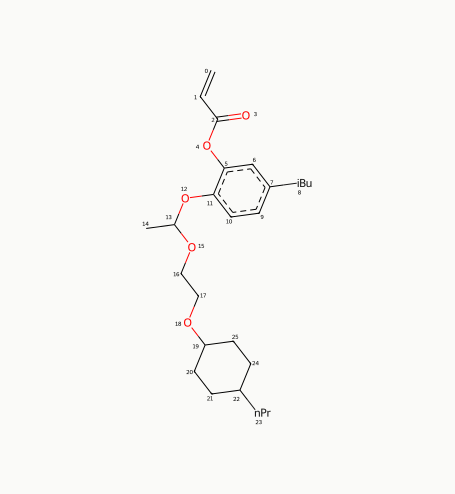 C=CC(=O)Oc1cc(C(C)CC)ccc1OC(C)OCCOC1CCC(CCC)CC1